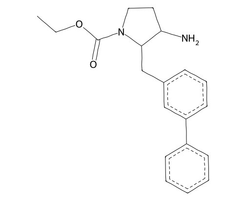 CCOC(=O)N1CCC(N)C1Cc1cccc(-c2ccccc2)c1